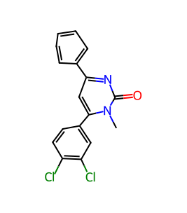 Cn1c(-c2ccc(Cl)c(Cl)c2)cc(-c2ccccc2)nc1=O